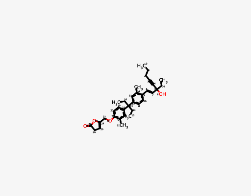 CCCC#CC(O)(C=Cc1ccc(C(CC)(CC)c2ccc(OCC3=CCC(=O)O3)c(C)c2)cc1C)CC